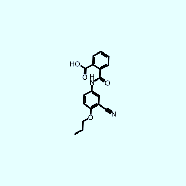 CCCOc1ccc(NC(=O)c2ccccc2C(=O)O)cc1C#N